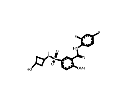 COc1ccc(S(=O)(=O)NC2CC(O)C2)cc1C(=O)Nc1ccc(F)cc1F